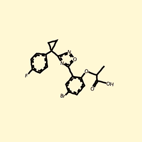 CC(Oc1ccc(Br)cc1-c1nc(C2(c3ccc(F)cc3)CC2)no1)C(=O)O